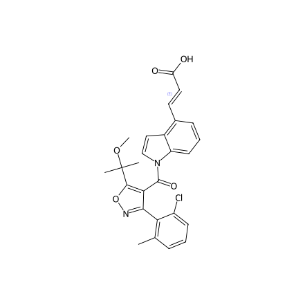 COC(C)(C)c1onc(-c2c(C)cccc2Cl)c1C(=O)n1ccc2c(/C=C/C(=O)O)cccc21